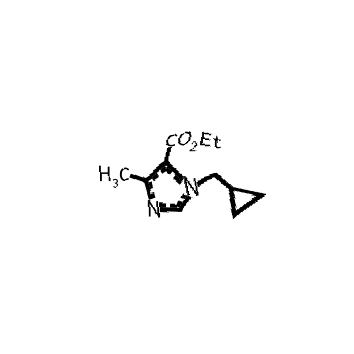 CCOC(=O)c1c(C)ncn1CC1CC1